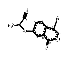 CC(C#N)Oc1ccc2c(Br)c[nH]c(=O)c2c1